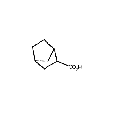 O=C(O)C1CC2[CH]CC1C2